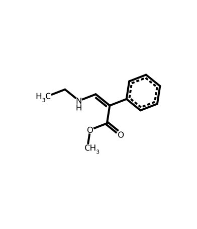 CCNC=C(C(=O)OC)c1ccccc1